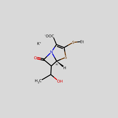 CCSC1=C(C(=O)[O-])N2C(=O)C(C(C)O)[C@H]2S1.[K+]